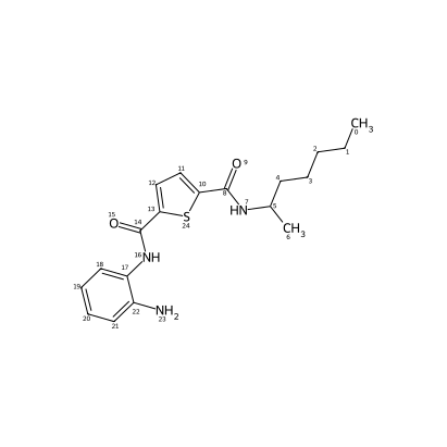 CCCCCC(C)NC(=O)c1ccc(C(=O)Nc2ccccc2N)s1